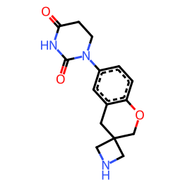 O=C1CCN(c2ccc3c(c2)CC2(CNC2)CO3)C(=O)N1